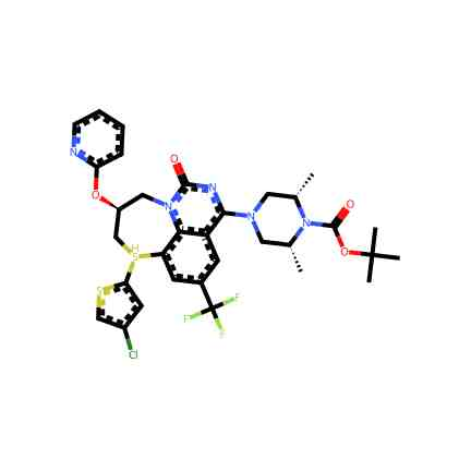 C[C@@H]1CN(c2nc(=O)n3c4c(cc(C(F)(F)F)cc24)[SH](c2cc(Cl)cs2)C[C@@H](Oc2ccccn2)C3)C[C@H](C)N1C(=O)OC(C)(C)C